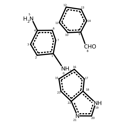 Nc1ccc(N)cc1.O=Cc1ccccc1.c1ccc2[nH]cnc2c1